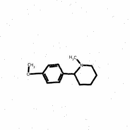 COc1ccc(C2CCCCN2C)cc1